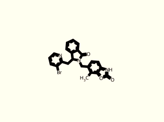 Cc1c(CN2C(=O)c3ccccc3C2Cc2ncccc2Br)ccc2[nH]c(=O)oc12